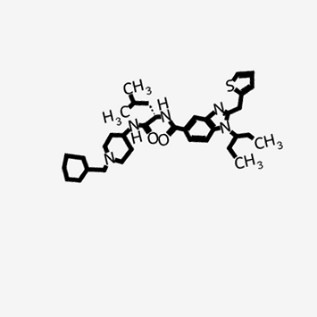 CCC(CC)n1c(Cc2cccs2)nc2cc(C(=O)N[C@@H](CC(C)C)C(=O)NC3CCN(CC4CCCCC4)CC3)ccc21